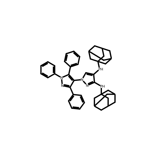 c1ccc(-c2nn(-c3ccccc3)c(-c3ccccc3)c2-n2cc(PC34CC5CC(CC(C5)C3)C4)c(PC34CC5CC(CC(C5)C3)C4)n2)cc1